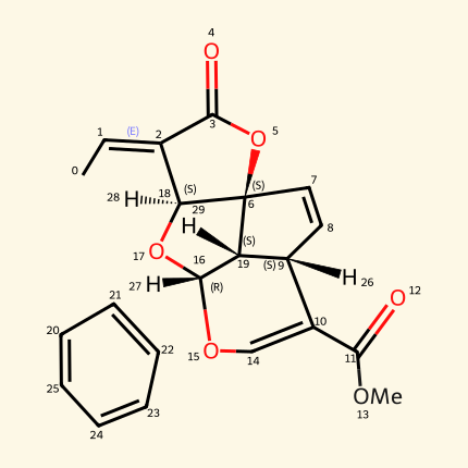 C/C=C1/C(=O)O[C@]23C=C[C@@H]4C(C(=O)OC)=CO[C@H](O[C@@H]12)[C@@H]43.c1ccccc1